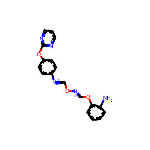 Nc1ccccc1O/C=N/O/C=N/c1ccc(Oc2ncccn2)cc1